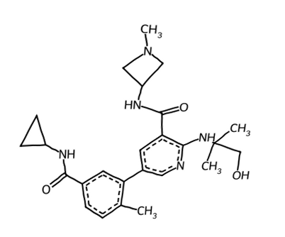 Cc1ccc(C(=O)NC2CC2)cc1-c1cnc(NC(C)(C)CO)c(C(=O)NC2CN(C)C2)c1